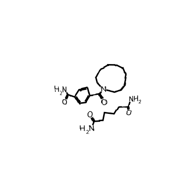 NC(=O)CCCCC(N)=O.NC(=O)c1ccc(C(=O)N2CCCCCCCCCC2)cc1